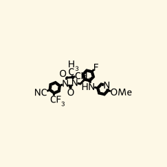 COc1ccc(Nc2cc(F)ccc2CN2C(=O)N(c3ccc(C#N)c(C(F)(F)F)c3)C(=O)C2(C)C)cn1